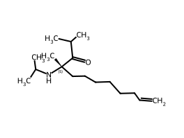 C=CCCCCCC[C@](C)(NC(C)C)C(=O)C(C)C